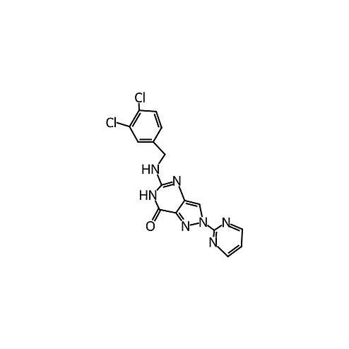 O=c1[nH]c(NCc2ccc(Cl)c(Cl)c2)nc2cn(-c3ncccn3)nc12